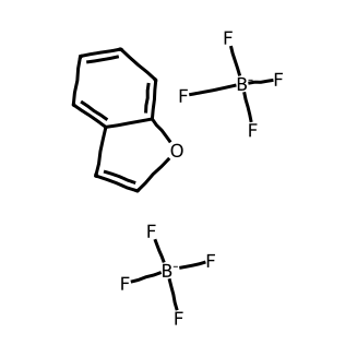 F[B-](F)(F)F.F[B-](F)(F)F.c1ccc2occc2c1